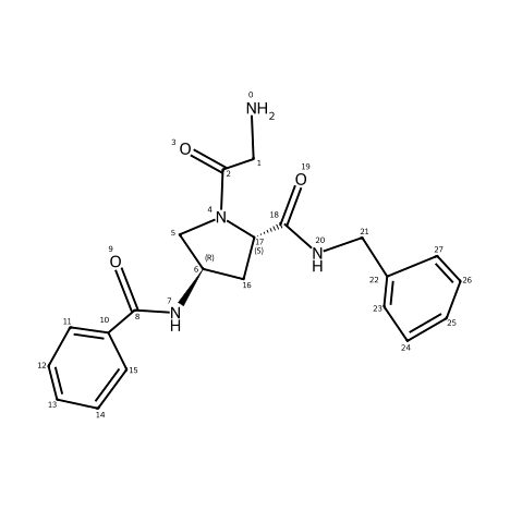 NCC(=O)N1C[C@H](NC(=O)c2ccccc2)C[C@H]1C(=O)NCc1ccccc1